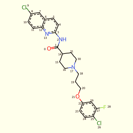 O=C(Nc1ccc2cc(Cl)ccc2n1)C1CCN(CCCOc2ccc(Cl)c(F)c2)CC1